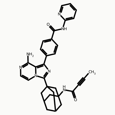 CC#CC(=O)NC12CC3CC(C1)CC(c1nc(-c4ccc(C(=O)Nc5ccccn5)cc4)c4c(N)nccn14)(C3)C2